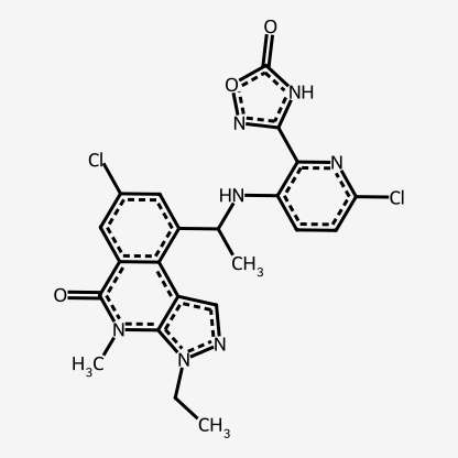 CCn1ncc2c3c(C(C)Nc4ccc(Cl)nc4-c4noc(=O)[nH]4)cc(Cl)cc3c(=O)n(C)c21